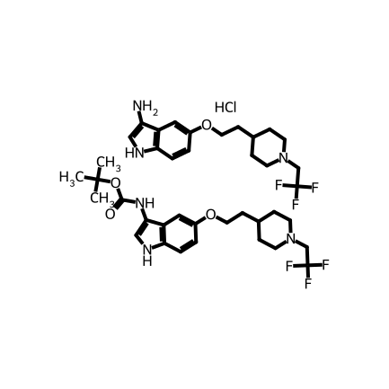 CC(C)(C)OC(=O)Nc1c[nH]c2ccc(OCCC3CCN(CC(F)(F)F)CC3)cc12.Cl.Nc1c[nH]c2ccc(OCCC3CCN(CC(F)(F)F)CC3)cc12